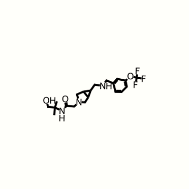 CC(C)(CO)NC(=O)CN1CC2C(CNCc3cccc(OC(F)(F)F)c3)C2C1